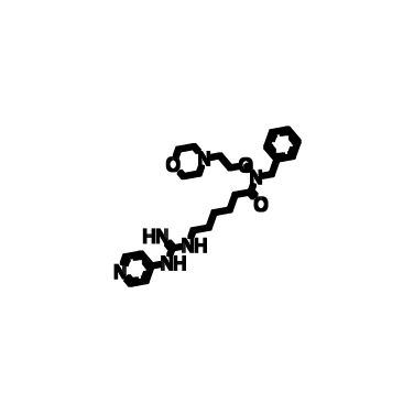 N=C(NCCCCCC(=O)N(Cc1ccccc1)OCCN1CCOCC1)Nc1ccncc1